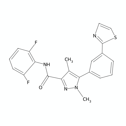 Cc1c(C(=O)Nc2c(F)cccc2F)nn(C)c1-c1cccc(-c2nccs2)c1